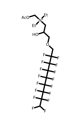 CC[N+](CC)(COC(C)=O)CC(O)COCC(F)(F)C(F)(F)C(F)(F)C(F)(F)C(F)(F)C(F)(F)C(F)(F)C(F)F